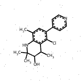 Cc1cc(-c2ccncc2)c(Cl)c2c1NC(C)(C)C(O)C2C